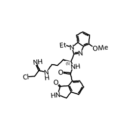 CCn1c([C@H](CCCNC(=N)CCl)NC(=O)c2cccc3c2C(=O)NC3)nc2c(OC)cccc21